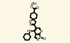 CCn1ncc2c(NC3CCCCC3)c(C3=NOC4(CCC(C(=O)OC(C)(C)C)CC4)C3)cnc21